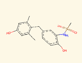 Cc1cc(O)cc(C)c1Cc1ccc(O)c(NS(C)(=O)=O)c1